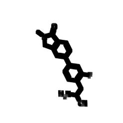 CN1Cc2cc(-c3ccc(CC(N)C#N)c(F)c3)ccc2C1=O